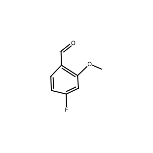 COc1cc(F)ccc1[C]=O